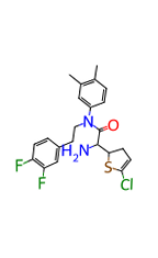 Cc1ccc(N(CCc2ccc(F)c(F)c2)C(=O)C(N)C2CC=C(Cl)S2)cc1C